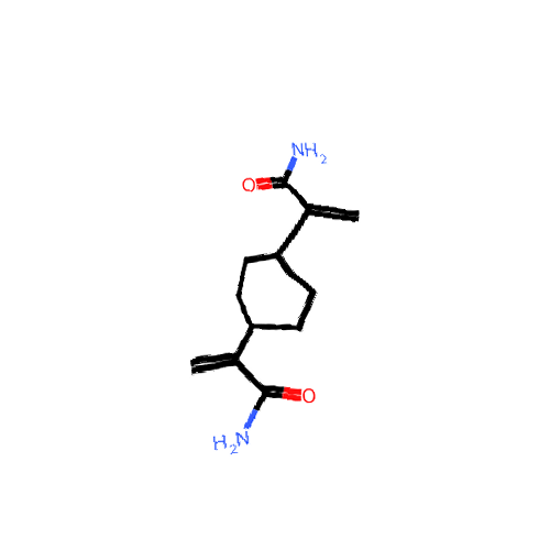 C=C(C(N)=O)C1CCC(C(=C)C(N)=O)CC1